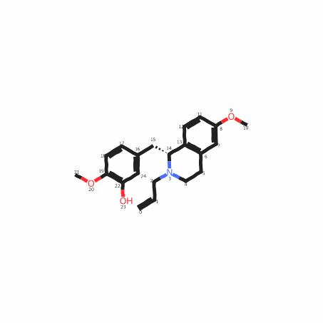 C=CCN1CCc2cc(OC)ccc2[C@H]1Cc1ccc(OC)c(O)c1